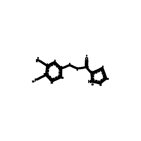 CC(C)c1cc(CCC(=O)c2ccc[nH]2)ccc1F